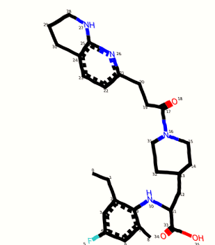 CCc1cc(F)cc(C)c1NC(CC1CCN(C(=O)CCc2ccc3c(n2)NCCC3)CC1)C(=O)O